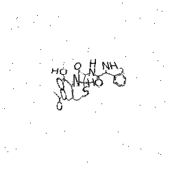 CC(=O)OCC1=C(C(=O)O)N2C(=O)C(NC(=O)C(N)c3ccccc3)[C@@H]2SC1